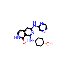 O=c1[nH]ccc2cc(Nc3cnccn3)nc(N[C@H]3CC[C@@H](O)CC3)c12